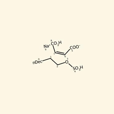 CCCCCCCCCCCCOS(=O)(=O)O.O=C([O-])/C=C\C(=O)O.[Na+]